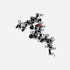 CC[C@H](C)[C@H](N)C(=O)N[C@@H](CC(C)C)C(=O)N[C@@H](C)C(=O)N[C@H](C(=O)N[C@@H](Cc1ccccc1)C(=O)N[C@@H](CO)C(=O)N[C@@H](CCC(=O)O)C(=O)N[C@H](C(=O)N[C@@H](CC(C)C)C(=O)N[C@@H](CO)C(=O)N[C@@H](C)C(=O)N[C@@H](CC(C)C)C(=O)N[C@@H](Cc1ccccc1)C(=O)N[C@@H](C)C(=O)N[C@@H](CCC(=O)O)C(=O)N[C@H](C(=O)N[C@@H](CCSC)C(=O)N[C@@H](CC(N)=O)C(=O)NCC(=O)N[C@@H](CCCCN)C(=O)O)C(C)C)C(C)C)C(C)C